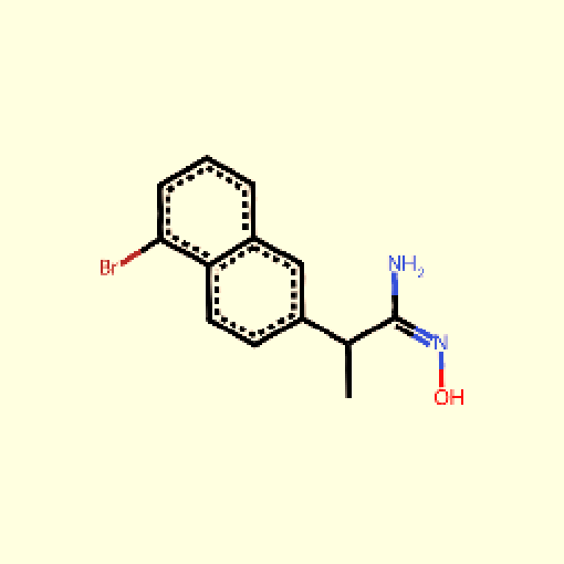 CC(/C(N)=N\O)c1ccc2c(Br)cccc2c1